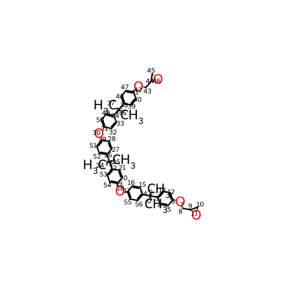 CC(C)(c1ccc(OCC2CO2)cc1)c1ccc(Oc2ccc(C(C)(C)c3ccc(Oc4ccc(C(C)(C)c5ccc(OCC6CO6)cc5)cc4)cc3)cc2)cc1